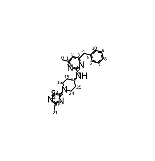 Cc1cc(Cc2ccccc2)nc(NC2CCN(c3nc(C)ns3)CC2)n1